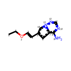 CCOC=Cc1cc2c(N)ncnn2c1